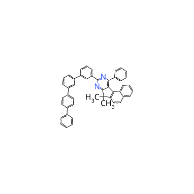 CC1(C)c2ccc3ccccc3c2-c2c(-c3ccccc3)nc(-c3cccc(-c4cccc(-c5ccc(-c6ccccc6)cc5)c4)c3)nc21